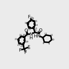 O=C(NC(C(=O)NC1CCCCC1)c1ccc(F)cc1)c1cccc(C(F)(F)F)c1